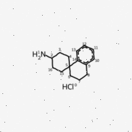 Cl.NC1CCC2(CCCc3ccccc32)CC1